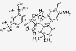 COc1cc(F)c(N)cc1C1=C(CN2C(=O)O[C@H](c3cc(C(F)(F)F)cc(C(F)(F)F)c3)[C@@H]2C)CC(C)(C)CC1